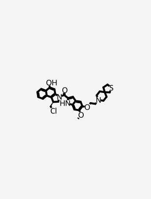 COc1cc2[nH]c(C(=O)N3C[C@@H](CCl)c4c3cc(O)c3ccccc43)cc2cc1OCCN1CCC2(CCSC2)CC1